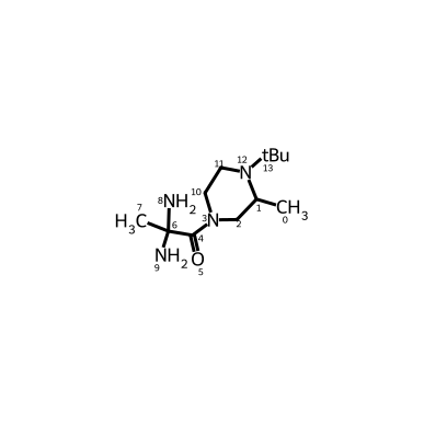 CC1CN(C(=O)C(C)(N)N)CCN1C(C)(C)C